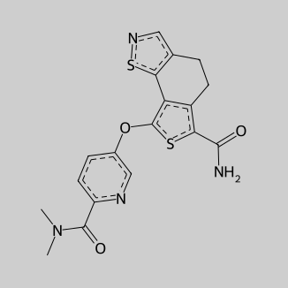 CN(C)C(=O)c1ccc(Oc2sc(C(N)=O)c3c2-c2sncc2CC3)cn1